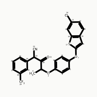 CC(Oc1ccc(Oc2cc3ccc(Cl)cc3s2)cc1)C(=O)C(C#N)c1cccc(C(F)(F)F)c1